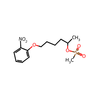 CC(CCCCOc1ccccc1[N+](=O)[O-])OS(C)(=O)=O